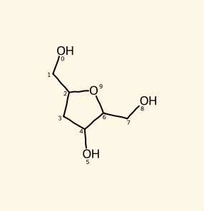 OCC1CC(O)C(CO)O1